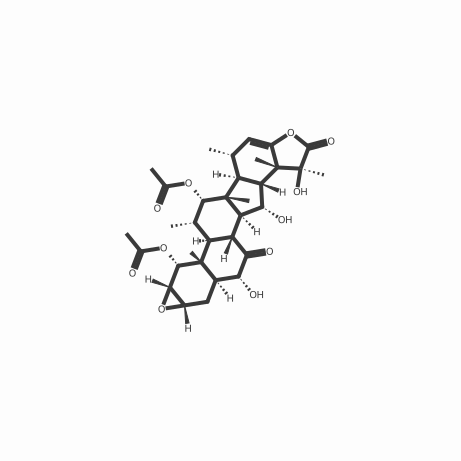 CC(=O)O[C@H]1[C@@H](C)[C@H]2[C@@H](C(=O)[C@H](O)[C@H]3C[C@@H]4O[C@@H]4[C@H](OC(C)=O)[C@]23C)[C@@H]2[C@@H](O)[C@@H]3[C@H]([C@H](C)C=C4OC(=O)[C@@](C)(O)[C@@]43C)[C@]21C